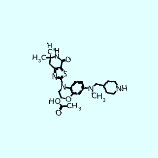 CC(=O)O.CN(CC1CCNCC1)c1ccc2c(c1)OCCN2c1nc2c(s1)C(=O)NC(C)(C)C2